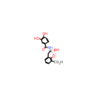 O=C(N[C@H]1Cc2cccc(C(=O)O)c2OB1O)c1ccc(O)c(O)c1